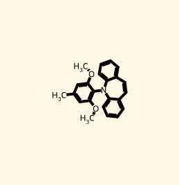 COc1cc(C)cc(OC)c1N1c2ccccc2C=Cc2ccccc21